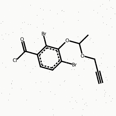 C#CCOC(C)Oc1c(Br)ccc(C(=O)Cl)c1Br